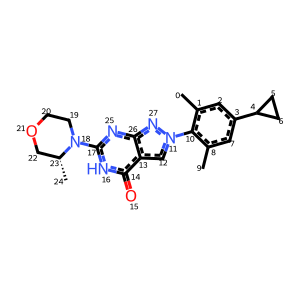 Cc1cc(C2CC2)cc(C)c1-n1cc2c(=O)[nH]c(N3CCOC[C@H]3C)nc2n1